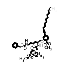 CCCCCCCCCCC#Cc1ccc(C(=O)OC)c(OC[C@H](CCCCNC(=O)OCc2ccccc2)NC(=O)CN(C)C(=O)CP(=O)(OCC)OCC)c1